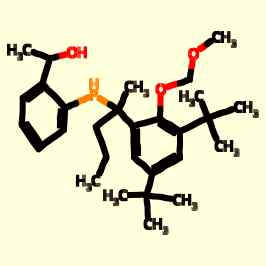 CCCC(C)(Pc1ccccc1C(C)O)c1cc(C(C)(C)C)cc(C(C)(C)C)c1OCOC